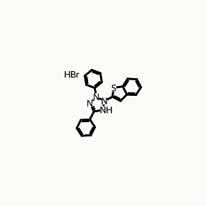 Br.c1ccc(C2=NN(c3ccccc3)N(c3cc4ccccc4s3)N2)cc1